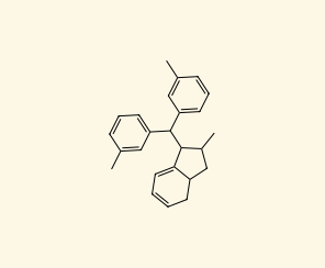 Cc1cccc(C(c2cccc(C)c2)C2C3=CC=CCC3CC2C)c1